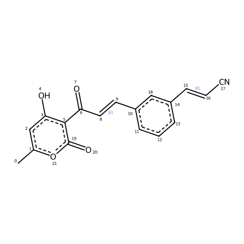 Cc1cc(O)c(C(=O)/C=C/c2cccc(/C=C/C#N)c2)c(=O)o1